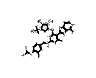 Cc1nc(NCc2ccc(OC(F)F)c(F)c2)nc(N[C@@H]2C[C@H](C(C)(C)O)[C@@H](O)[C@H]2O)c1-c1nc2c(C)nccc2s1